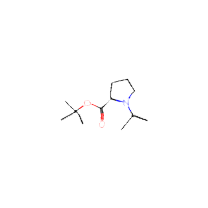 CC(C)N1CCC[C@@H]1C(=O)OC(C)(C)C